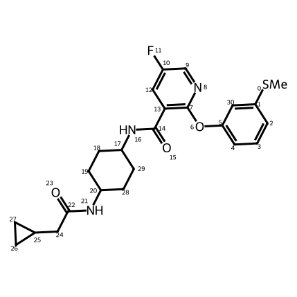 CSc1cccc(Oc2ncc(F)cc2C(=O)NC2CCC(NC(=O)CC3CC3)CC2)c1